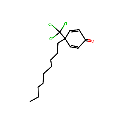 CCCCCCCCCC1(C(Cl)(Cl)Cl)C=CC(=O)C=C1